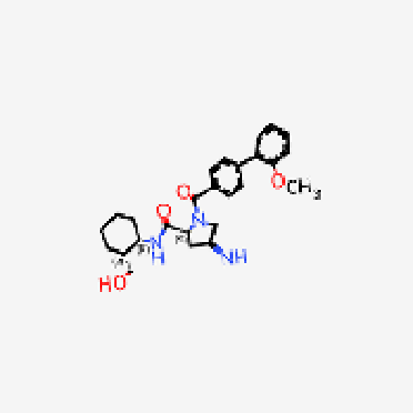 COc1ccccc1-c1ccc(C(=O)N2CC(=N)C[C@H]2C(=O)N[C@@H]2CCCC[C@H]2CO)cc1